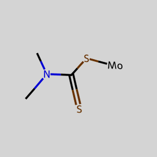 CN(C)C(=S)[S][Mo]